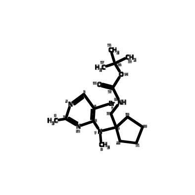 Cc1ncc(Br)c(N(C)C2(CNC(=O)OC(C)(C)C)CCCC2)n1